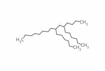 CCCCCCCCC([CH]C(CCCC)CCCCCC)CCCCCC